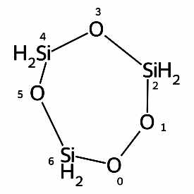 O1O[SiH2]O[SiH2]O[SiH2]1